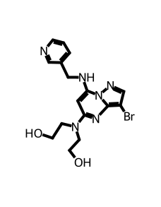 OCCN(CCO)c1cc(NCc2cccnc2)n2ncc(Br)c2n1